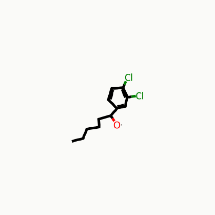 CCCCCC([O])c1ccc(Cl)c(Cl)c1